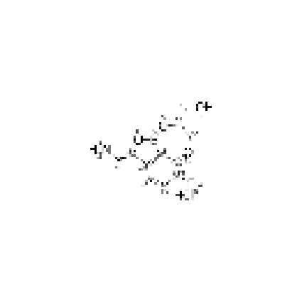 Cl.NC[C@H]1OB2O[C@H](CO)COc3c(F)ccc1c32